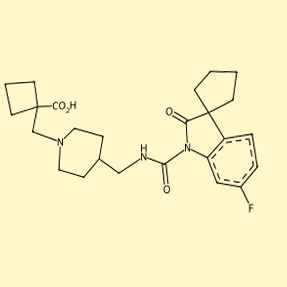 O=C(NCC1CCN(CC2(C(=O)O)CCC2)CC1)N1C(=O)C2(CCCC2)c2ccc(F)cc21